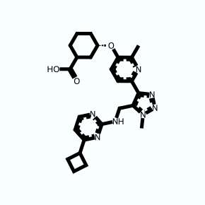 Cc1nc(-c2nnn(C)c2CNc2nccc(C3CCC3)n2)ccc1O[C@H]1CCCC(C(=O)O)C1